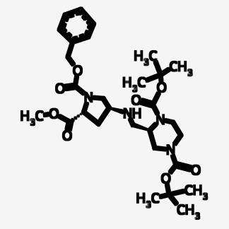 COC(=O)[C@H]1C[C@H](NC[C@@H]2CN(C(=O)OC(C)(C)C)CCN2C(=O)OC(C)(C)C)CN1C(=O)OCc1ccccc1